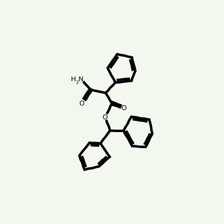 NC(=O)C(C(=O)OC(c1ccccc1)c1ccccc1)c1ccccc1